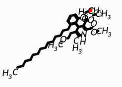 CCCCCCCCCCCCCCCc1cccc(OCC)c1C1C(CCOC)=C(C)NC(C(=O)OC)=C1C(=O)OC(C)C